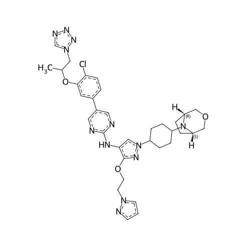 CC(Cn1cnnn1)Oc1cc(-c2cnc(Nc3cn(C4CCC(N5[C@@H]6CC[C@H]5COC6)CC4)nc3OCCn3cccn3)nc2)ccc1Cl